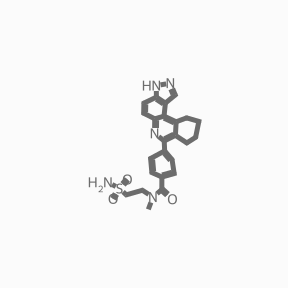 CN(CCS(N)(=O)=O)C(=O)c1ccc(-c2nc3ccc4[nH]ncc4c3c3c2CCCC3)cc1